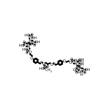 CP(=O)(O)OC(CO/N=C/c1ccc(OCCOP(=O)(O)CN(CCN(CP(=O)(O)O)CP(=O)(O)O)CP(=O)(O)O)cc1)CO/N=C/c1ccc(OCCOP(=O)(O)CN(CCN(CP(=O)(O)O)CP(=O)(O)O)CP(=O)(O)O)cc1